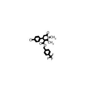 CC1=C(C(=O)OCc2ccc(C(F)(F)F)cc2)C(c2ccc(Cl)cc2)CC(=O)N1C